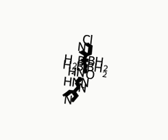 BC(B)(C(=O)Nc1nnc(-c2ccncc2)[nH]1)C(B)(B)c1ccc(Cl)nc1